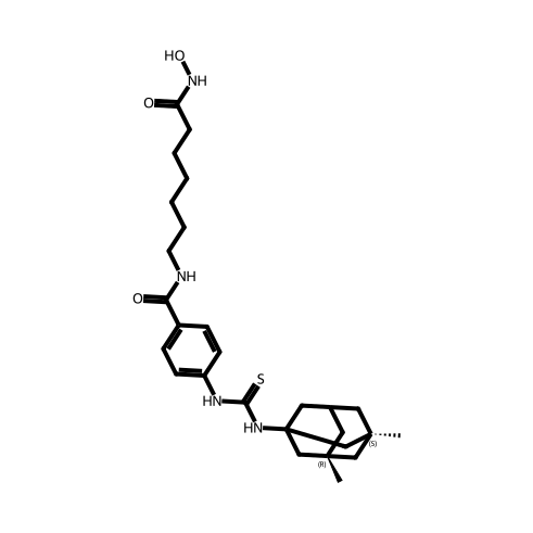 C[C@]12CC3CC(NC(=S)Nc4ccc(C(=O)NCCCCCCC(=O)NO)cc4)(C1)C[C@@](C)(C3)C2